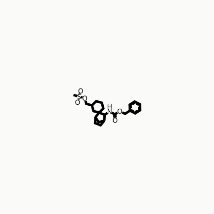 CS(=O)(=O)OCC1CCCC2(C1)C1CCC(C1)C2NC(=O)OCc1ccccc1